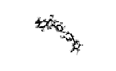 Cc1cc(N2CCN([C@H]3C=C(c4nc5c(c(=O)[nH]4)CC4(CC5)CC4)CC3)CC2)ncc1F